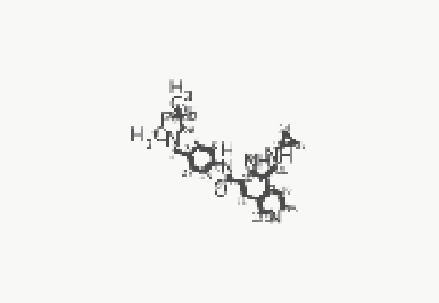 CN(Cc1ccc(NC(=O)/C=C/c2cnccc2/C(C=N)=C/NC2CC2)cc1)CC(C)(F)F